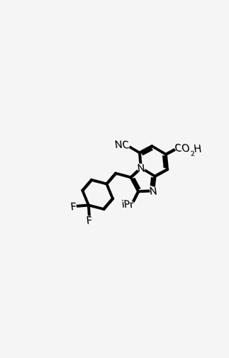 CC(C)c1nc2cc(C(=O)O)cc(C#N)n2c1CC1CCC(F)(F)CC1